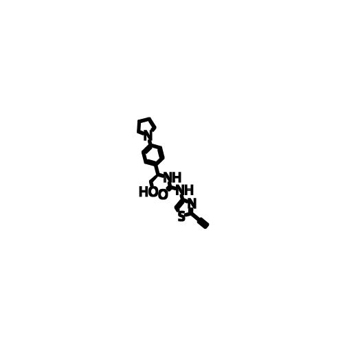 C#Cc1nc(NC(=O)N[C@@H](CO)c2ccc(N3CCCC3)cc2)cs1